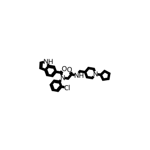 O=C(CN(C(=O)c1ccc2cc[nH]c2c1)c1ccccc1Cl)NCC1CCN(C2CCCC2)CC1